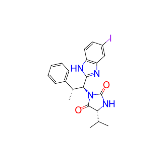 CC(C)[C@H]1NC(=O)N([C@H](c2nc3cc(I)ccc3[nH]2)[C@H](C)c2ccccc2)C1=O